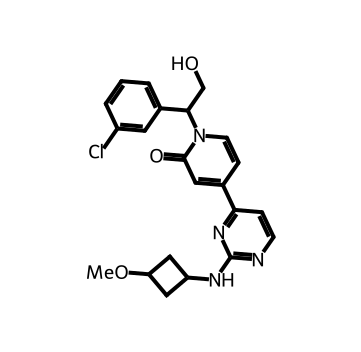 COC1CC(Nc2nccc(-c3ccn(C(CO)c4cccc(Cl)c4)c(=O)c3)n2)C1